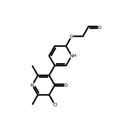 CC1=NC(C)=C(C2=CNC(OCC=O)C=C2)C(=O)C1Cl